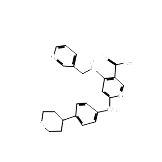 NC(=O)c1cnc(Nc2ccc(C3CCOCC3)cc2)cc1NCc1cccnc1